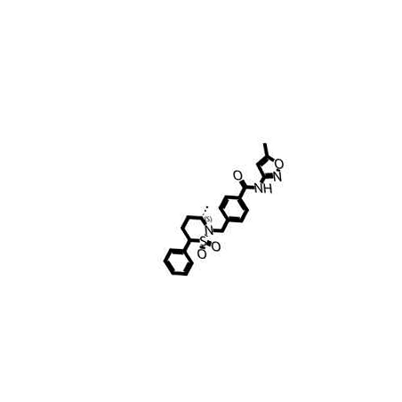 Cc1cc(NC(=O)c2ccc(CN3[C@@H](C)CCC(c4ccccc4)S3(=O)=O)cc2)no1